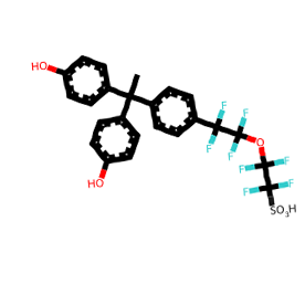 CC(c1ccc(O)cc1)(c1ccc(O)cc1)c1ccc(C(F)(F)C(F)(F)OC(F)(F)C(F)(F)S(=O)(=O)O)cc1